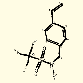 C=Cc1ccc(C[NH+]([O-])S(=O)(=O)C(F)(F)F)cc1